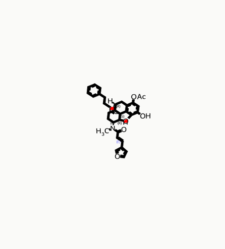 CC(=O)Oc1cc(O)c2c3c1C[C@@H]1[C@@H]4CC[C@@H](N(C)C(=O)/C=C/c5ccoc5)[C@H](O2)[C@]34CCN1CCc1ccccc1